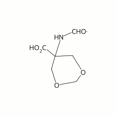 O=[C]NC1(C(=O)O)COCOC1